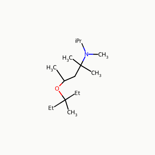 CCC(C)(CC)OC(C)CC(C)(C)N(C)C(C)C